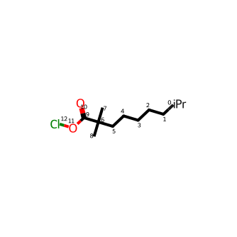 CC(C)CCCCCC(C)(C)C(=O)OCl